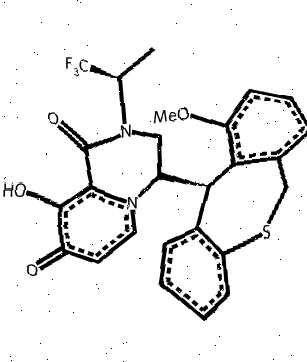 COc1cccc2c1[C@H](C1CN([C@H](C)C(F)(F)F)C(=O)c3c(O)c(=O)ccn31)c1ccccc1SC2